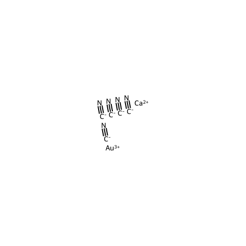 [Au+3].[C-]#N.[C-]#N.[C-]#N.[C-]#N.[C-]#N.[Ca+2]